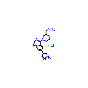 Cl.Cn1cc(-c2cc3c(N4CCCC(CN)C4)ncnn3c2)cn1